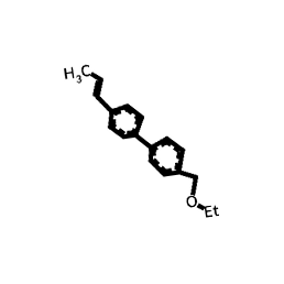 CC=Cc1ccc(-c2ccc(COCC)cc2)cc1